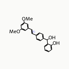 COc1cc(/C=C/c2ccc(C(O)c3ccccc3O)cc2)cc(OC)c1